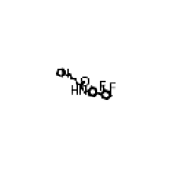 O=C(CCCCN1CCCC1)Nc1ccc(-c2cccc(F)c2F)cc1